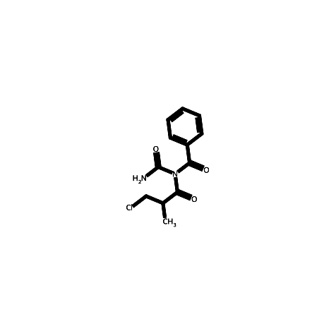 CC(CCl)C(=O)N(C(N)=O)C(=O)c1ccccc1